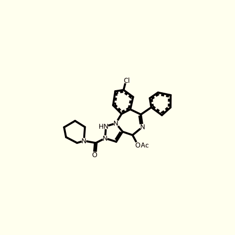 CC(=O)OC1N=C(c2ccccc2)c2cc(Cl)ccc2N2NN(C(=O)N3CCCCC3)C=C12